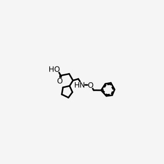 O=C(O)CC(CNOCc1ccccc1)C1CCCC1